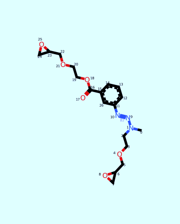 CN(CCOCC1CO1)/N=N/c1cccc(C(=O)OCCOCC2CO2)c1